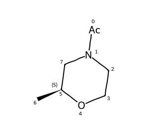 CC(=O)N1CCO[C@@H](C)C1